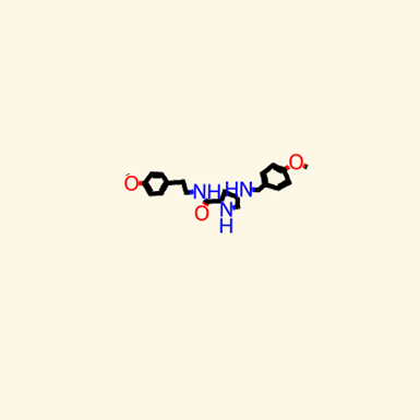 COc1ccc(CCNC(=O)C2CC(NCc3ccc(OC)cc3)CN2)cc1